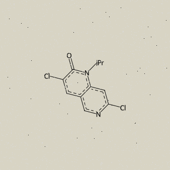 CC(C)n1c(=O)c(Cl)cc2cnc(Cl)cc21